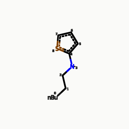 CCCCCC[N]c1cccs1